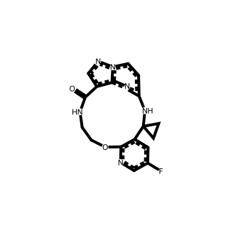 O=C1NCCOc2ncc(F)cc2C2(CC2)Nc2ccn3ncc1c3n2